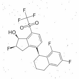 O=S(=O)(c1ccc([C@@H]2CCCc3cc(F)cc(F)c32)c2c1[C@H](O)[C@H](F)C2)C(F)(F)F